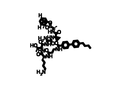 CCCCc1ccc(-c2ccc(C(=O)NCCC(=O)N[C@@H](CCCCN)C(=O)N[C@H](C(=O)N[C@@H](N)C(=O)NC3(C(=O)N[C@@H](C)B4OC5C[C@@H]6C[C@@H](C6(C)C)[C@]5(C)O4)CC3)[C@@H](C)O)cc2)cc1